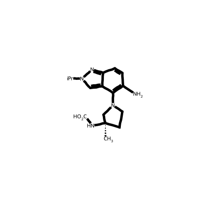 CC(C)n1cc2c(N3CC[C@@](C)(NC(=O)O)C3)c(N)ccc2n1